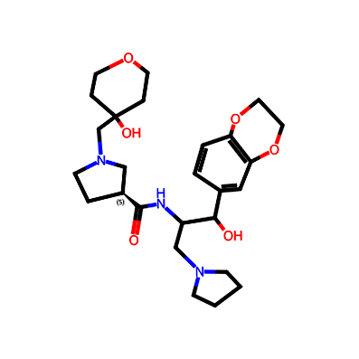 O=C(NC(CN1CCCC1)C(O)c1ccc2c(c1)OCCO2)[C@H]1CCN(CC2(O)CCOCC2)C1